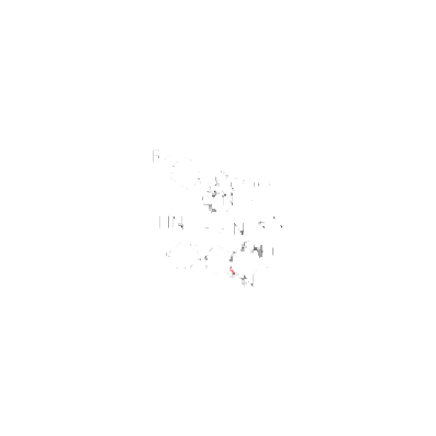 CCOc1ccccc1C1(C2CNc3ccccc32)C(=O)[N+](C(=O)[O-])(S(=O)(=O)c2ccc(F)cc2)CC(C#N)N1c1ccncc1